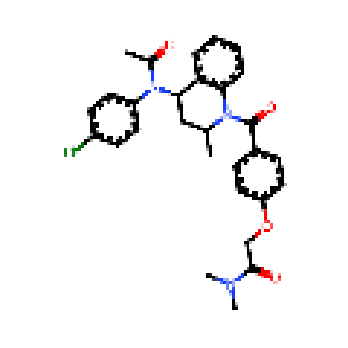 CC(=O)N(c1ccc(Cl)cc1)[C@@H]1C[C@H](C)N(C(=O)c2ccc(OCC(=O)N(C)C)cc2)c2ccccc21